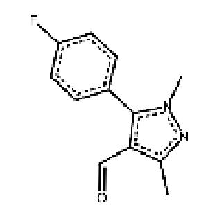 Cc1nn(C)c(-c2ccc(F)cc2)c1C=O